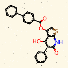 O=C(Oc1csc2[nH]c(=O)c(-c3ccccc3)c(O)c12)c1ccc(-c2ccccc2)cc1